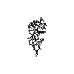 C[C@H]1C[C@H]2[C@@H]3CCC4=CC(=O)C=C[C@]4(C)[C@@]3(F)[C@@H](O)C[C@]2(C)[C@]1(C(=O)CO)N(C(=O)O)C(C)(C)C(C)(C)C